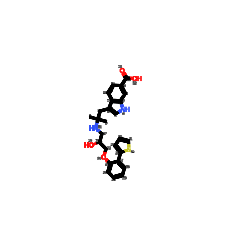 CC(C)(Cc1c[nH]c2cc(C(=O)O)ccc12)NC[C@H](O)COc1ccccc1-c1cccs1